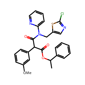 COc1cccc(C(C(=O)OC(C)c2ccccc2)C(=O)N(Cc2cnc(Cl)s2)c2ccccn2)c1